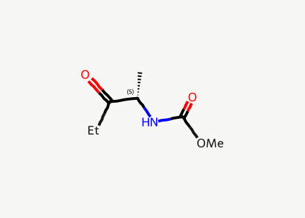 CCC(=O)[C@H](C)NC(=O)OC